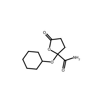 NC(=O)C1(OC2CCCCC2)[CH]CC(=O)O1